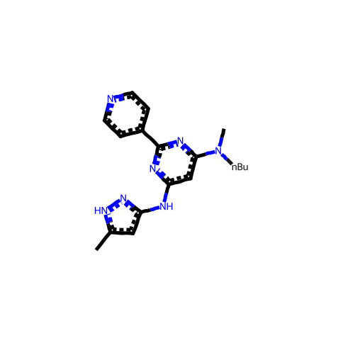 CCCCN(C)c1cc(Nc2cc(C)[nH]n2)nc(-c2ccncc2)n1